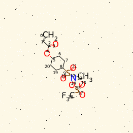 C=CC(=O)OC1CCC(S(=O)(=O)N(C)OS(=O)(=O)C(F)(F)F)CC1